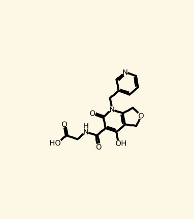 O=C(O)CNC(=O)c1c(O)c2c(n(Cc3cccnc3)c1=O)COC2